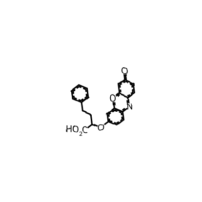 O=C(O)C(CCc1ccccc1)Oc1ccc2nc3ccc(=O)cc-3oc2c1